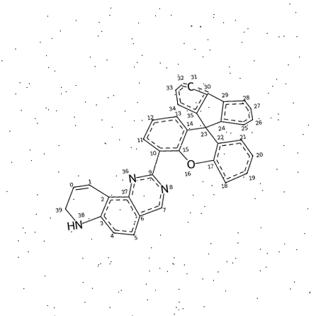 C1=Cc2c(ccc3cnc(-c4cccc5c4Oc4ccccc4C54c5ccccc5-c5ccccc54)nc23)NC1